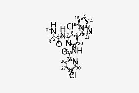 CNC(C)C(=O)Nc1cc(-c2cnc3cccc(Cl)n23)cc(NC(=O)c2ccc(Cl)cn2)n1